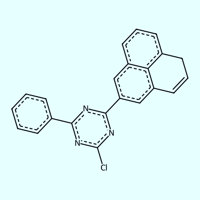 Clc1nc(-c2ccccc2)nc(-c2cc3c4c(cccc4c2)CC=C3)n1